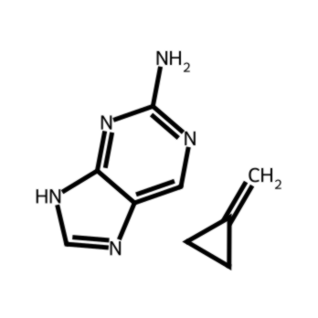 C=C1CC1.Nc1ncc2nc[nH]c2n1